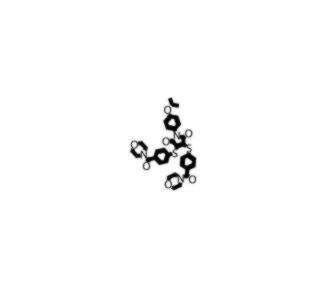 CC(C)Oc1ccc(N2C(=O)C(Sc3ccc(C(=O)N4CCOCC4)cc3)=C(Sc3ccc(C(=O)N4CCOCC4)cc3)C2=O)cc1